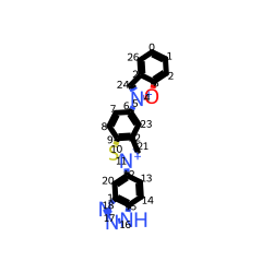 c1ccc2o[n+](-c3ccc4s[n+](-c5ccc6[nH]nnc6c5)cc4c3)cc2c1